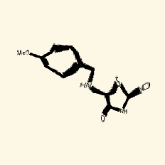 COc1ccc(CNC2SC(=O)NC2=O)cc1